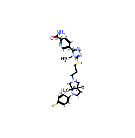 Cn1c(SCCCN2C[C@@H]3CCN(c4ccc(F)cc4)[C@]3(C)C2)nnc1-c1ccc(C(N)=O)nc1